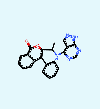 CC(Nc1ncnc2[nH]ncc12)c1oc(=O)c2ccccc2c1-c1ccccc1